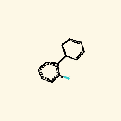 Fc1ccccc1C1C=CC=CC1